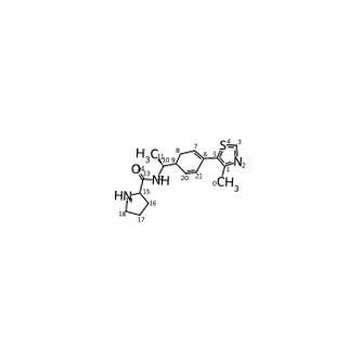 Cc1ncsc1C1=CCC([C@H](C)NC(=O)C2CCCN2)C=C1